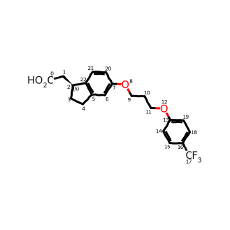 O=C(O)C[C@@H]1CCc2cc(OCCCOc3ccc(C(F)(F)F)cc3)ccc21